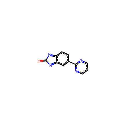 O=C1N=c2[c]c(-c3ncccn3)ccc2=N1